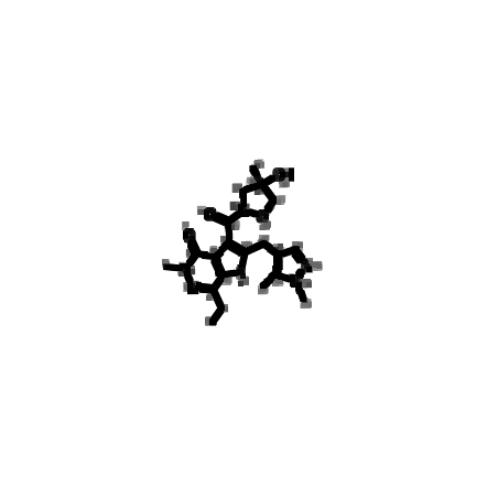 CCc1nn(C)c(=O)c2c(C(=O)N3C[C@](C)(O)CO3)c(Cc3cnn(C)c3C)sc12